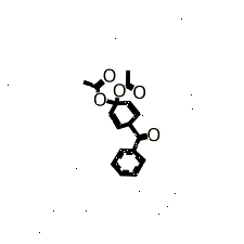 CC(=O)OC1(OC(C)=O)C=CC(C(=O)c2ccccc2)C=C1